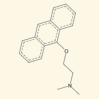 CN(C)CCOc1c2ccccc2cc2ccccc12